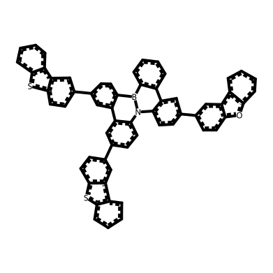 c1ccc2c(c1)B1c3ccc(-c4ccc5sc6ccccc6c5c4)cc3-c3cc(-c4ccc5sc6ccccc6c5c4)ccc3N1c1ccc(-c3ccc4oc5ccccc5c4c3)cc1-2